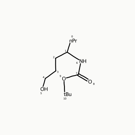 CCCC(CCCO)NC(=O)OC(C)(C)C